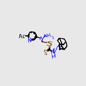 CC(=O)c1ccc(N(N)CSC(=S)NC23CC4CC(CC(C4)C2)C3)cn1